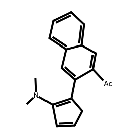 CC(=O)c1cc2ccccc2cc1C1=C(N(C)C)C=CC1